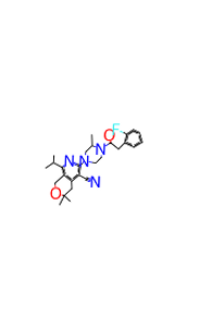 CC(C)c1nc(N2CCN(C(=O)Cc3ccccc3F)C(C)C2)c(C#N)c2c1COC(C)(C)C2